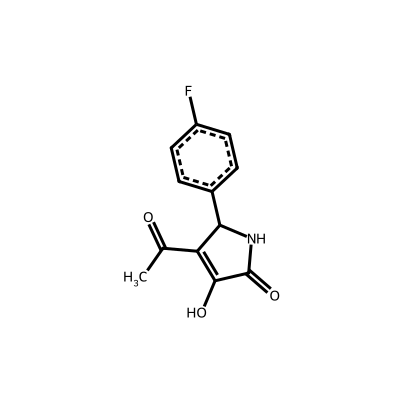 CC(=O)C1=C(O)C(=O)NC1c1ccc(F)cc1